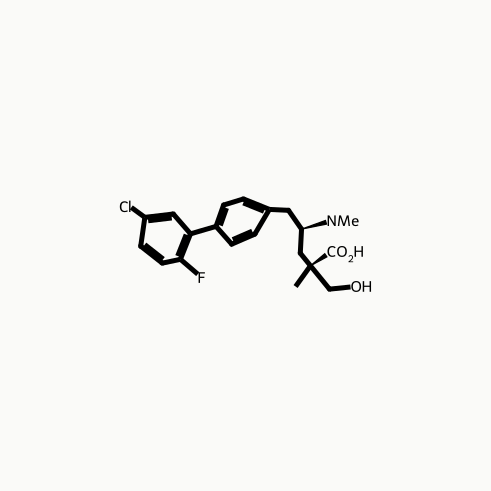 CN[C@H](Cc1ccc(-c2cc(Cl)ccc2F)cc1)C[C@@](C)(CO)C(=O)O